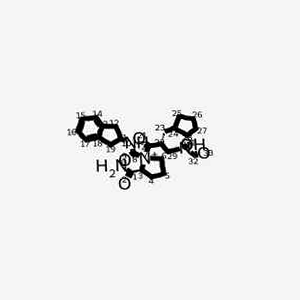 NC(=O)[C@@H]1CCC[N+]1(C(=O)NC1Cc2ccccc2C1)C(=O)[C@H](CC1CCCC1)CN(O)C=O